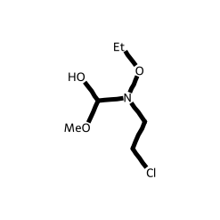 CCON(CCCl)C(O)OC